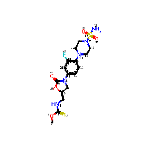 COC(=S)NCC1CN(c2ccc(N3CCN(S(N)(=O)=O)CC3)c(F)c2)C(=O)O1